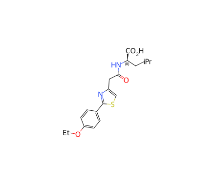 CCOc1ccc(-c2nc(CC(=O)N[C@H](CC(C)C)C(=O)O)cs2)cc1